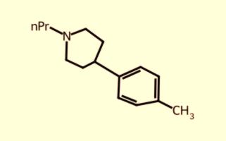 CCCN1CCC(c2ccc(C)cc2)CC1